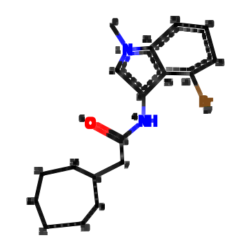 Cn1cc(NC(=O)CC2CCCCCC2)c2c(Br)cccc21